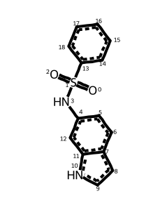 O=S(=O)(Nc1ccc2cc[nH]c2c1)c1ccccc1